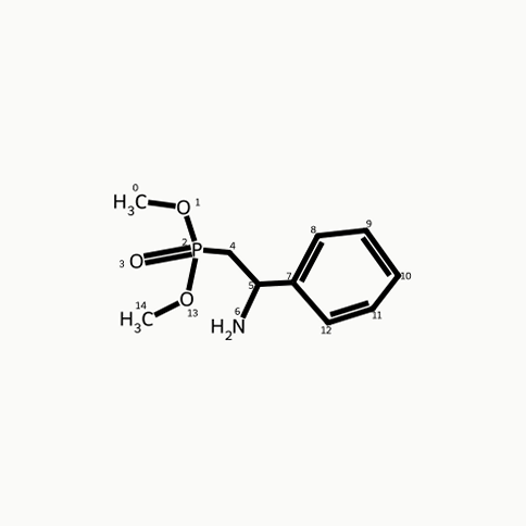 COP(=O)(CC(N)c1ccccc1)OC